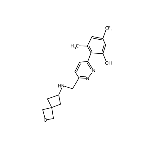 Cc1cc(C(F)(F)F)cc(O)c1-c1ccc(CNC2CC3(COC3)C2)nn1